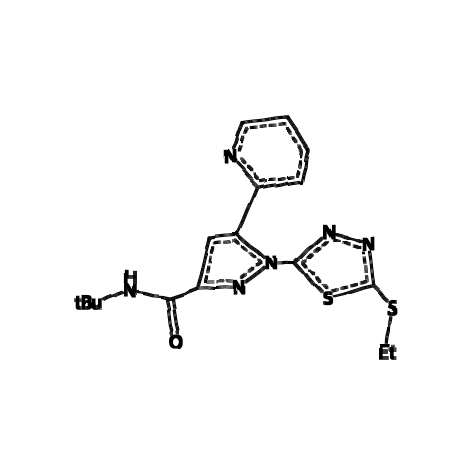 CCSc1nnc(-n2nc(C(=O)NC(C)(C)C)cc2-c2ccccn2)s1